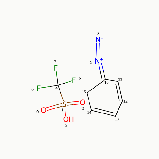 O=S(=O)(O)C(F)(F)F.[N-]=[N+]=C1C=CC=CC1